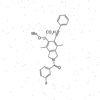 Cc1c(C#Cc2ccccc2)c([C@H](OC(C)(C)C)C(=O)O)c(C)c2c1CN(C(=O)c1cccc(F)c1)C2